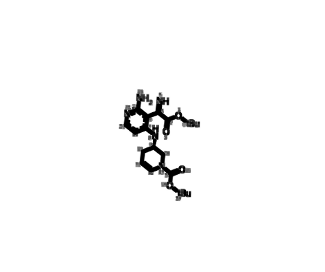 CC(C)(C)OC(=O)C(=N)c1c(N[C@@H]2CC=CN(C(=O)OC(C)(C)C)C2)ccnc1N